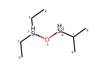 CC[SiH](CC)O[SiH2]C(C)C